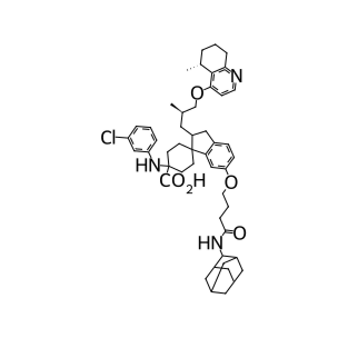 C[C@@H](COc1ccnc2c1[C@H](C)CCC2)CC1Cc2ccc(OCCCC(=O)NC3C4CC5CC(C4)CC3C5)cc2C12CCC(Nc1cccc(Cl)c1)(C(=O)O)CC2